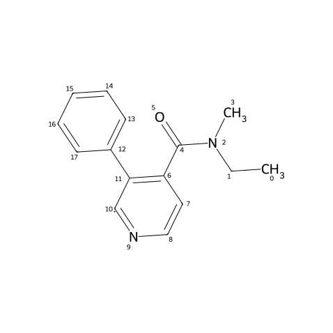 CCN(C)C(=O)c1ccn[c]c1-c1ccccc1